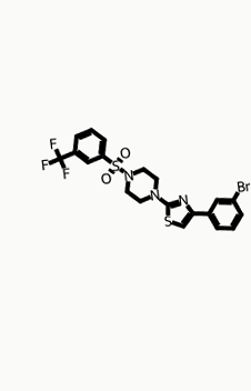 O=S(=O)(c1cccc(C(F)(F)F)c1)N1CCN(c2nc(-c3cccc(Br)c3)cs2)CC1